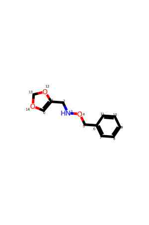 C1=C(CNOCc2ccccc2)OCO1